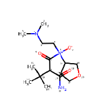 CN(C)CC[N+]([O-])(C(=O)C(C(N)=O)C(C)(C)C)C1CCOC1